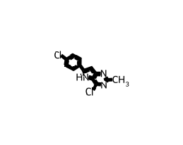 Cc1nc(Cl)c2[nH]c(-c3ccc(Cl)cc3)cc2n1